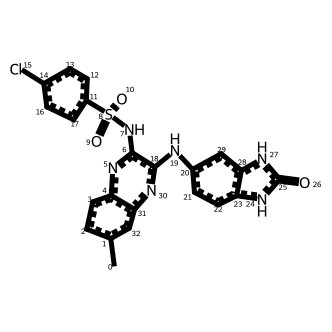 Cc1ccc2nc(NS(=O)(=O)c3ccc(Cl)cc3)c(Nc3ccc4[nH]c(=O)[nH]c4c3)nc2c1